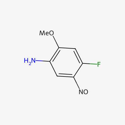 COc1cc(F)c(N=O)cc1N